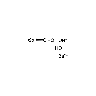 [Ba+2].[OH-].[OH-].[OH-].[O]=[Sb+]